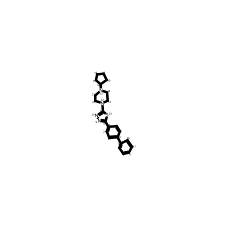 c1ccc(-c2ccc(-c3nnc(N4CCN(C5CCCC5)CC4)s3)cc2)cc1